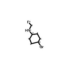 FCNC1CCC(Br)CC1